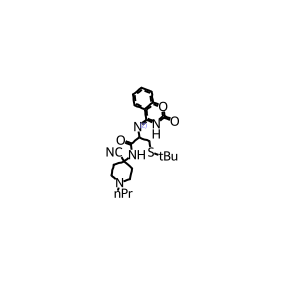 CCCN1CCC(C#N)(NC(=O)C(CSC(C)(C)C)/N=c2\[nH]c(=O)oc3ccccc23)CC1